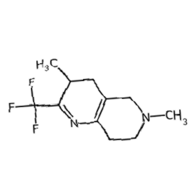 CC1CC2=C(CCN(C)C2)N=C1C(F)(F)F